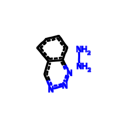 NN.c1ccc2nnncc2c1